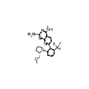 CNc1nc(N)nc2nc(-c3c(N4CCC[C@H]4COC)cccc3C(F)(F)F)ccc12